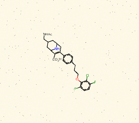 CC(=O)NCC1CC2CC(c3ccc(CCCOc4c(F)ccc(F)c4Cl)cc3)=C(C(=O)O)C(C1)N2